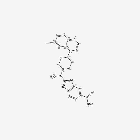 CNC(=O)c1ccc2nc(C(C)N3CCC(c4ccnc5ccc(F)cc45)CC3)[nH]c2c1